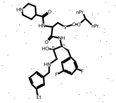 CCCC(CCC)OOSCC(NC(=O)C1CCNCC1)C(=O)N[C@@H](Cc1cc(F)cc(F)c1)[C@H](O)CNCc1cccc(CC)c1